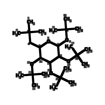 CC(C)(C)CC1OC(OC(C)(C)C)C(OC(C)(C)C)C(OC(C)(C)C)C1OC(C)(C)C